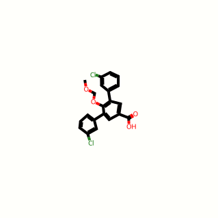 COCOc1c(-c2cccc(Cl)c2)cc(C(=O)O)cc1-c1cccc(Cl)c1